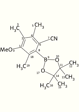 COc1c(C)c(C)c(C#N)c(B2OC(C)(C)C(C)(C)O2)c1C